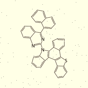 c1ccc2c(-c3nc(-n4c5ccccc5c5c6c7ccccc7sc6c6ccccc6c54)nc4ccccc34)cccc2c1